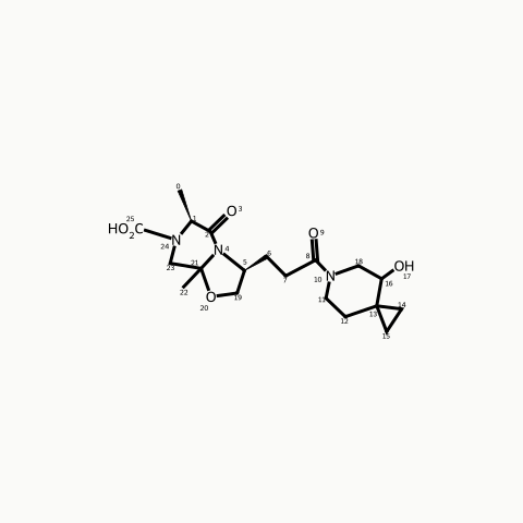 C[C@H]1C(=O)N2[C@@H](CCC(=O)N3CCC4(CC4)C(O)C3)COC2(C)CN1C(=O)O